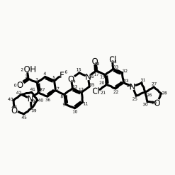 O=C(O)c1cc(F)c(-c2cccc3c2OCN(C(=O)c2c(Cl)cc(N4CC5(CCOC5)C4)cc2Cl)C3)cc1N1C2CCC1COC2